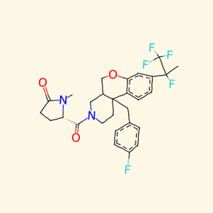 CN1C(=O)CC[C@H]1C(=O)N1CCC2(Cc3ccc(F)cc3)c3ccc(C(C)(F)C(F)(F)F)cc3OCC2C1